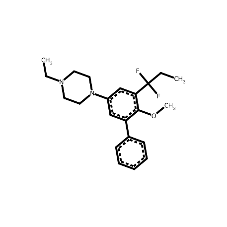 CCN1CCN(c2cc(-c3ccccc3)c(OC)c(C(F)(F)CC)c2)CC1